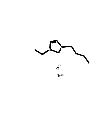 CCCCN1C=CN(CC)C1.[Cl-].[Cl-].[Zn+2]